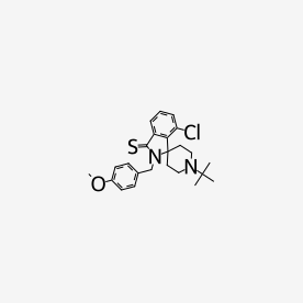 COc1ccc(CN2C(=S)c3cccc(Cl)c3C23CCN(C(C)(C)C)CC3)cc1